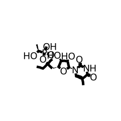 CCC(C)(C[C@H]1O[C@@H](n2cc(C)c(=O)[nH]c2=O)[C@H](O)[C@@H]1O)OP(=O)(O)[C@H](C)O